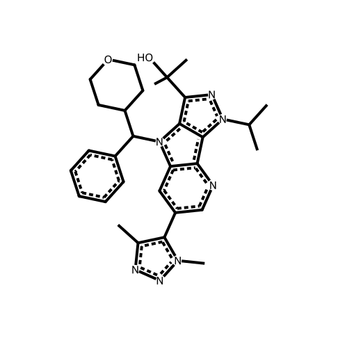 Cc1nnn(C)c1-c1cnc2c3c(c(C(C)(C)O)nn3C(C)C)n(C(c3ccccc3)C3CCOCC3)c2c1